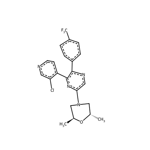 C[C@H]1CN(c2cnc(-c3ccc(C(F)(F)F)cc3)c(-c3ccncc3Cl)n2)C[C@H](C)O1